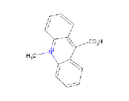 C[n+]1c2ccccc2c(C(=O)O)c2ccccc21